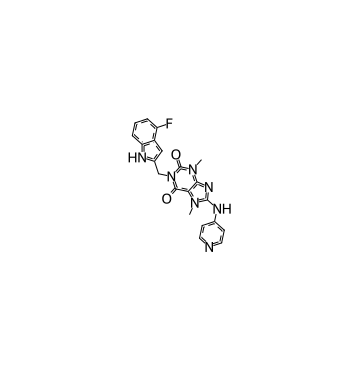 Cn1c(Nc2ccncc2)nc2c1c(=O)n(Cc1cc3c(F)cccc3[nH]1)c(=O)n2C